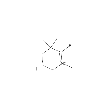 CCC1=[N+](C)CCCC1(C)C.[I-]